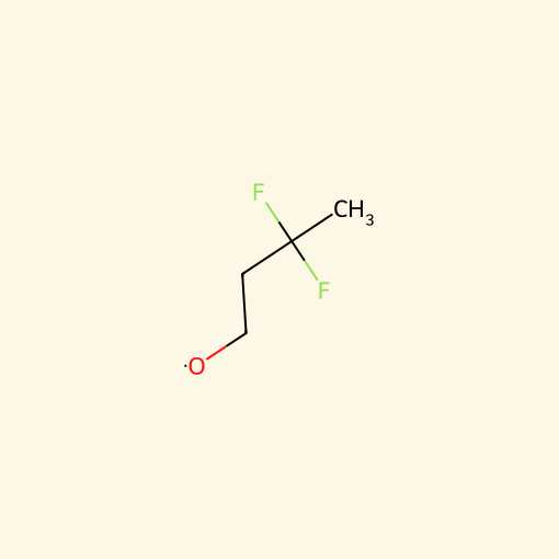 CC(F)(F)CC[O]